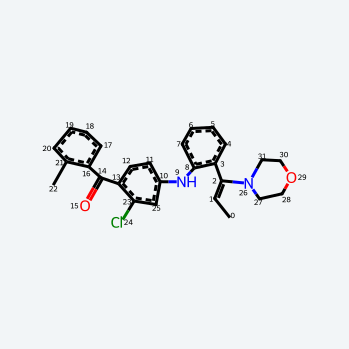 CC=C(c1ccccc1Nc1ccc(C(=O)c2ccccc2C)c(Cl)c1)N1CCOCC1